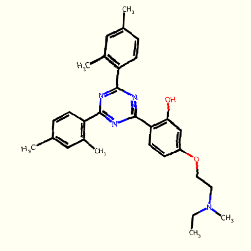 CCN(C)CCOc1ccc(-c2nc(-c3ccc(C)cc3C)nc(-c3ccc(C)cc3C)n2)c(O)c1